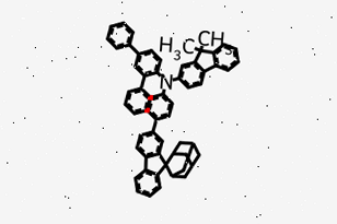 CC1(C)c2ccccc2-c2ccc(N(c3ccc(-c4ccc5c(c4)C4(c6ccccc6-5)C5CC6CC(C5)CC4C6)cc3)c3ccc(-c4ccccc4)cc3-c3ccccc3)cc21